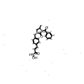 CC1CN(Cc2ccc(/C=C/C(=O)NO)cc2)C(=O)N1C(=O)c1ccccc1